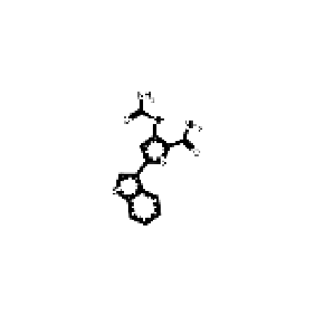 NC(=O)Nc1cc(-c2csc3ccccc23)sc1C(N)=O